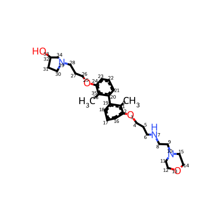 Cc1c(OCCCNCCN2CCOCC2)cccc1-c1cccc(OCCCN2CCC(O)C2)c1C